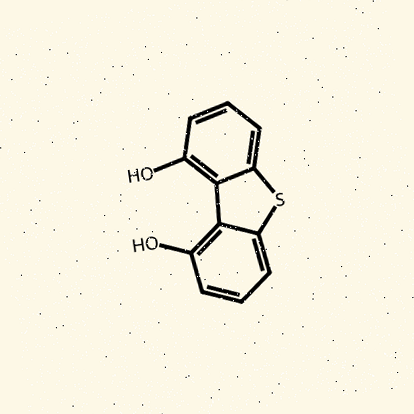 Oc1cccc2sc3cccc(O)c3c12